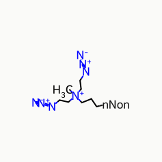 CCCCCCCCCCCC[N+](C)(CCN=[N+]=[N-])CCN=[N+]=[N-]